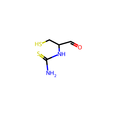 NC(=S)NC(C=O)CS